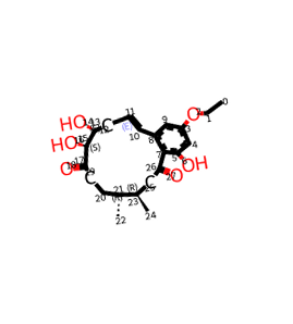 CCOc1cc(O)c2c(c1)/C=C/C[C@H](O)[C@H](O)C(=O)CC[C@@H](C)[C@H](C)CC2=O